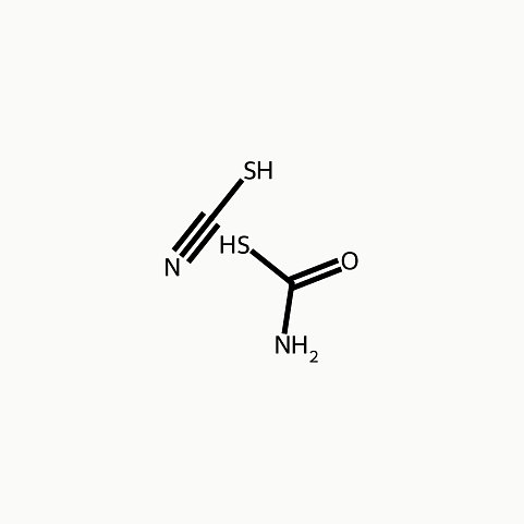 N#CS.NC(=O)S